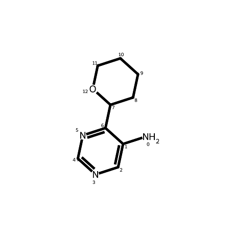 Nc1cn[c]nc1C1CCCCO1